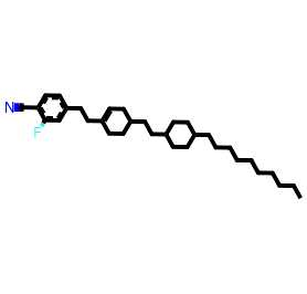 CCCCCCCCCCC1CCC(CCC2CC=C(CCc3ccc(C#N)c(F)c3)CC2)CC1